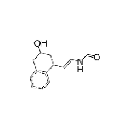 O=CNC=CC1CC(O)Cc2ccccc21